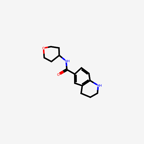 O=C(NC1CCOCC1)c1ccc2c(c1)CCCN2